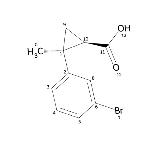 C[C@]1(c2cccc(Br)c2)C[C@H]1C(=O)O